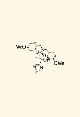 COc1ccc(CN(Cc2ccc(OC)cc2)S(=O)(=O)C(C)C(O)c2cnc(C)cn2)cc1